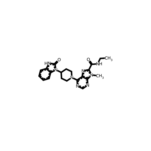 CCNC(=O)c1nc2c(N3CCC(n4c(=O)[nH]c5ccccc54)CC3)ncnc2n1C